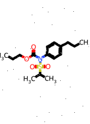 CCCOC(=O)N(c1ccc(CCC)cc1)S(=O)(=O)C(C)C